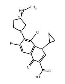 CN[C@@H]1CCN(c2c(F)cc3c(=O)c(C(=O)O)cn(C4CC4)c3c2Cl)C1